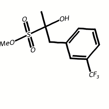 COS(=O)(=O)C(C)(O)Cc1cccc(C(F)(F)F)c1